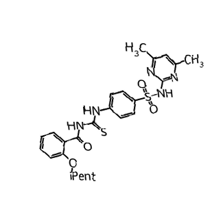 CCCC(C)Oc1ccccc1C(=O)NC(=S)Nc1ccc(S(=O)(=O)Nc2nc(C)cc(C)n2)cc1